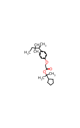 CCC(C)(C)C(C)c1ccc(OCC(=O)OC(C)(C)C2CCCC2)cc1